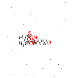 CC(=O)O.CC(=O)O.O=CCCCCC=O